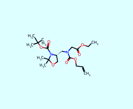 C=CCOC(=O)N(CC(=O)OCC)C[C@@H]1COC(C)(C)N1C(=O)OC(C)(C)C